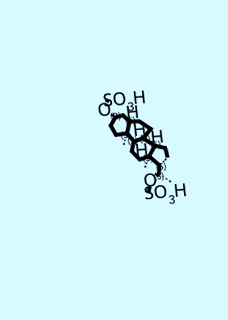 C[C@H](OS(=O)(=O)O)[C@H]1CC[C@H]2[C@@H]3CC[C@H]4C[C@H](OS(=O)(=O)O)CC[C@]4(C)[C@H]3CC[C@]12C